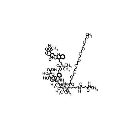 CC[C@@]1(O)C(=O)OCc2c1cc1n(c2=O)Cc2c-1nc1ccccc1c2CCN(C(=O)OCc1ccc(NC(=O)[C@H](C)NC(=O)[C@@H](NC(=O)[C@H](CCCCNC(=O)CCC(=O)NC)NC(=O)CCOCCOCCOCCOCCOCCOCCOCCOC)C(C)C)c(O[C@@H]2O[C@H](C(=O)O)[C@@H](O)[C@H](O)[C@H]2O)c1)C(C)C